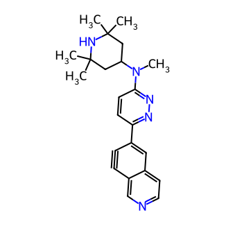 CN(c1ccc(-c2c#cc3cnccc3c2)nn1)C1CC(C)(C)NC(C)(C)C1